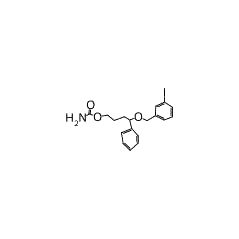 NC(=O)OCCCC(OCc1cccc(I)c1)c1ccccc1